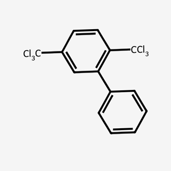 ClC(Cl)(Cl)c1ccc(C(Cl)(Cl)Cl)c(-c2ccccc2)c1